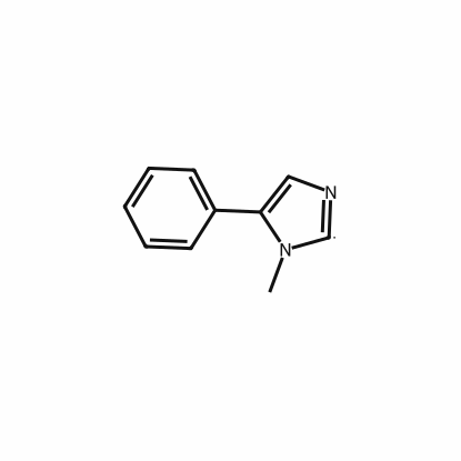 Cn1[c]ncc1-c1ccccc1